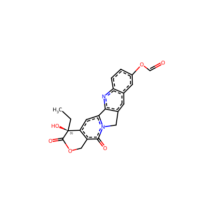 CC[C@@]1(O)C(=O)OCc2c1cc1n(c2=O)Cc2cc3cc(OC=O)ccc3nc2-1